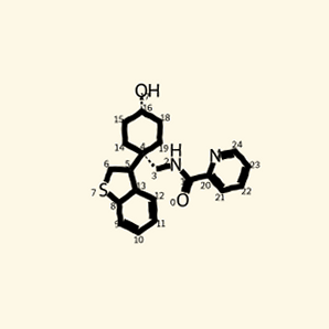 O=C(NC[C@]1(C2CSC3C=CC=CC32)CC[C@H](O)CC1)c1ccccn1